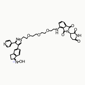 O=C1CCC(N2C(=O)c3cccc(NCCOCCOCCOCCn4cc(-c5ccc6c(c5)CC/C6=N/O)c(-c5ccncc5)n4)c3C2=O)C(=O)N1